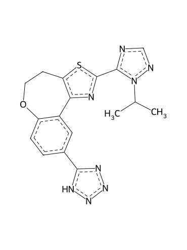 CC(C)n1ncnc1-c1nc2c(s1)CCOc1ccc(-c3nnn[nH]3)cc1-2